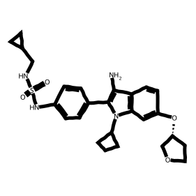 Nc1c(-c2ccc(NS(=O)(=O)NCC3CC3)cc2)n(C2CCC2)c2cc(O[C@@H]3CCOC3)ccc12